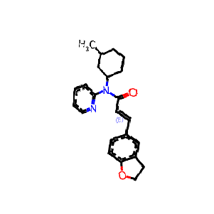 CC1CCCC(N(C(=O)/C=C/c2ccc3c(c2)CCO3)c2ccccn2)C1